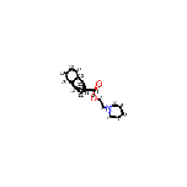 O=C(OCCN1CCCCC1)C1CC2CC1C1CCCCC21